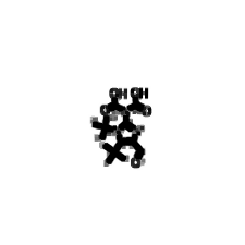 CC(C)(C)c1c(C=O)nc(N(C(=O)O)C(=O)O)n1C(C)(C)C